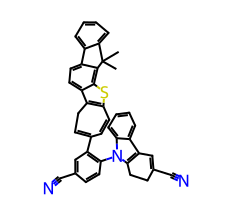 CC1(C)c2ccccc2-c2ccc3c4c(sc3c21)C=CC(c1cc(C#N)ccc1-n1c2c(c3ccccc31)C=C(C#N)CC2)=CC4